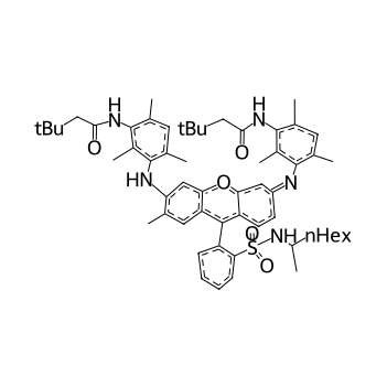 CCCCCCC(C)NS(=O)(=O)c1ccccc1-c1c2cc/c(=N/c3c(C)cc(C)c(NC(=O)CC(C)(C)C)c3C)cc-2oc2cc(Nc3c(C)cc(C)c(NC(=O)CC(C)(C)C)c3C)c(C)cc12